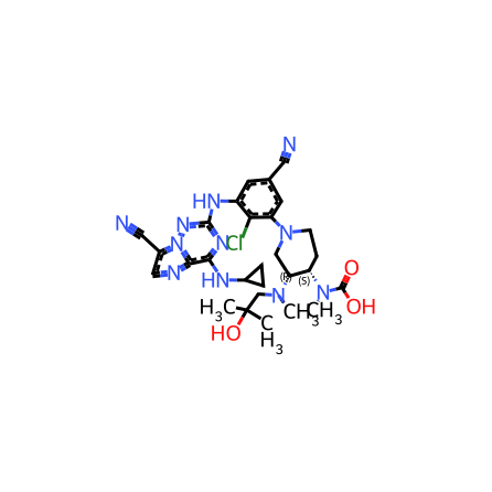 CN(CC(C)(C)O)[C@@H]1CN(c2cc(C#N)cc(Nc3nc(NC4CC4)c4ncc(C#N)n4n3)c2Cl)CC[C@@H]1N(C)C(=O)O